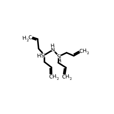 C=CC[SiH](CC=C)N[SiH](CC=C)CC=C